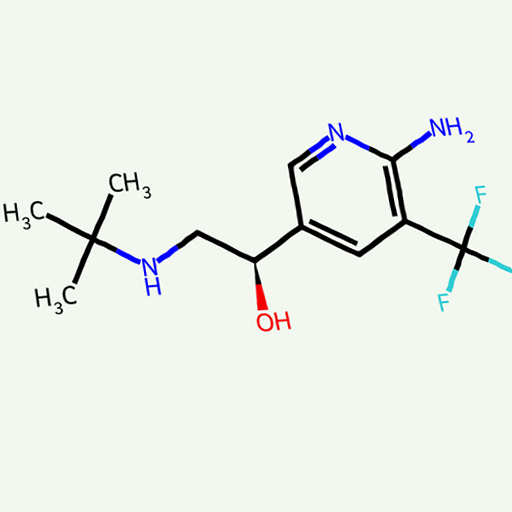 CC(C)(C)NC[C@H](O)c1cnc(N)c(C(F)(F)F)c1